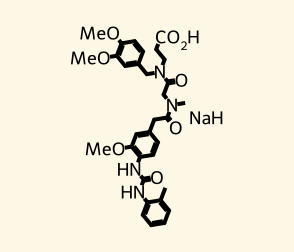 COc1cc(CC(=O)N(C)CC(=O)N(CCC(=O)O)Cc2ccc(OC)c(OC)c2)ccc1NC(=O)Nc1ccccc1C.[NaH]